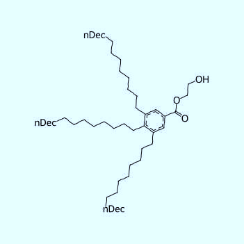 CCCCCCCCCCCCCCCCCCc1cc(C(=O)OCCO)cc(CCCCCCCCCCCCCCCCCC)c1CCCCCCCCCCCCCCCCCC